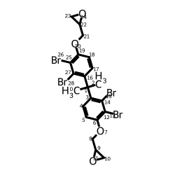 CC(C)(c1ccc(OCC2CO2)c(Br)c1Br)c1ccc(OCC2CO2)c(Br)c1Br